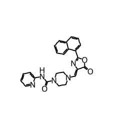 O=C1OC(c2cccc3ccccc23)=NC1=CN1CCN(C(=O)Nc2ccccn2)CC1